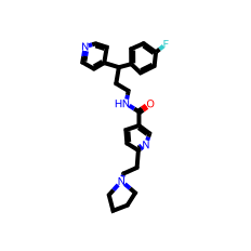 O=C(NCCC(c1ccncc1)c1ccc(F)cc1)c1ccc(CCN2CCCC2)nc1